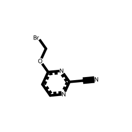 N#Cc1nccc(OCBr)n1